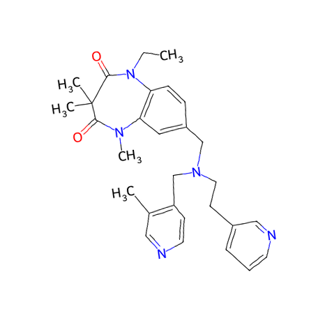 CCN1C(=O)C(C)(C)C(=O)N(C)c2cc(CN(CCc3cccnc3)Cc3ccncc3C)ccc21